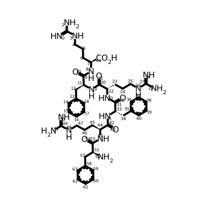 N=C(N)NCCC[C@H](NC(=O)[C@H](Cc1ccccc1)NC(=O)[C@H](CCCNC(=N)N)NC(=O)[C@H](Cc1ccccc1)NC(=O)[C@H](CCCNC(=N)N)NC(=O)[C@@H](N)Cc1ccccc1)C(=O)O